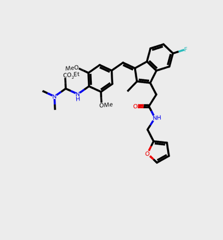 CCOC(=O)C(Nc1c(OC)cc(C=C2C(C)=C(CC(=O)NCc3ccco3)c3cc(F)ccc32)cc1OC)N(C)C